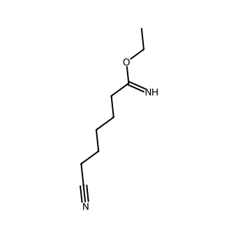 CCOC(=N)CCCCCC#N